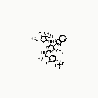 Cc1nc(N[C@H](C)c2ccc(OC(F)(F)F)cc2F)nc(NC2C[C@H](CO)[C@@H](O)[C@@]2(C)O)c1-c1nc2cnccc2s1